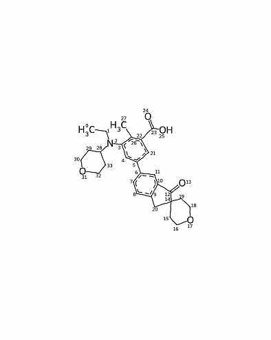 CCN(c1cc(-c2ccc3c(c2)C(=O)C2(CCOCC2)C3)cc(C(=O)O)c1C)C1CCOCC1